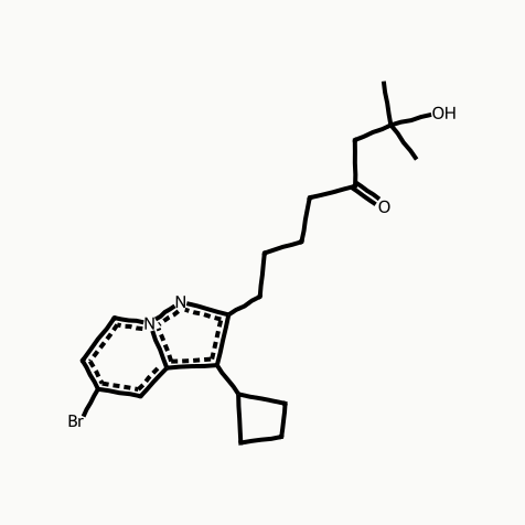 CC(C)(O)CC(=O)CCCCc1nn2ccc(Br)cc2c1C1CCC1